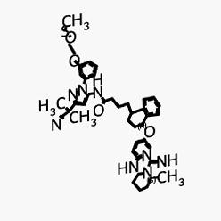 CSOCCOc1cccc(-n2nc(C(C)(C)C#N)cc2NC(=O)CCCC2CC[C@@H](Oc3ccc(=N)n(C(=N)N4CCCC[C@@H]4C)c3)c3ccccc32)c1